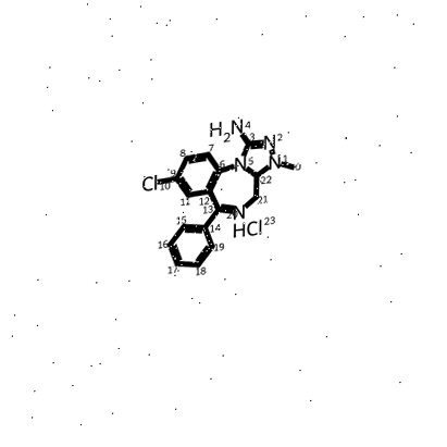 CN1N=C(N)N2c3ccc(Cl)cc3C(c3ccccc3)=NCC12.Cl